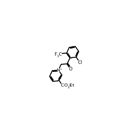 CCOC(=O)c1ccc[n+](CC(=O)c2c(Cl)cccc2C(F)(F)F)c1